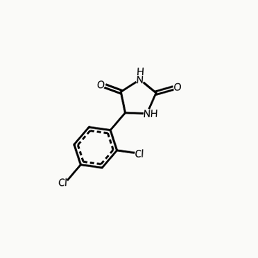 O=C1NC(=O)C(c2ccc(Cl)cc2Cl)N1